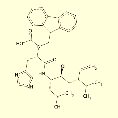 C=C[C@@H](C[C@H](O)[C@H](CC(C)C)NC(=O)[C@H](Cc1c[nH]cn1)N(CC1c2ccccc2-c2ccccc21)C(=O)O)C(C)C